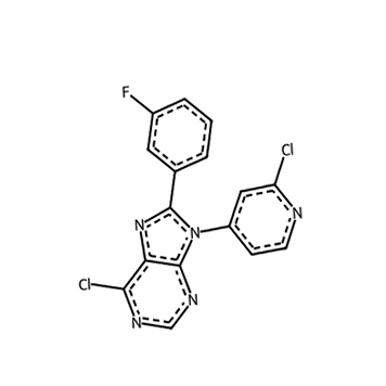 Fc1cccc(-c2nc3c(Cl)ncnc3n2-c2ccnc(Cl)c2)c1